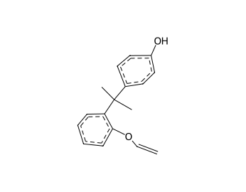 C=COc1ccccc1C(C)(C)c1ccc(O)cc1